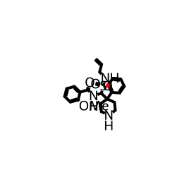 C=CCNS(=O)(=O)C(NC(=O)c1ccccc1OC)C1(c2ccccc2)CCNCC1